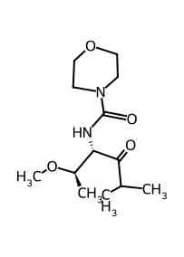 CO[C@H](C)[C@H](NC(=O)N1CCOCC1)C(=O)C(C)C